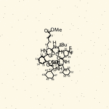 COC(=O)/C=C/CC[C@H](NC(=O)c1ccccc1C(=O)O)C(=O)N[C@H](C(=O)N1CC(F)(F)C[C@H]1C(=O)N[C@H](C(=O)N[C@H](C(N)=O)C1CCCCC1)C1CCCCC1)C(C)(C)C